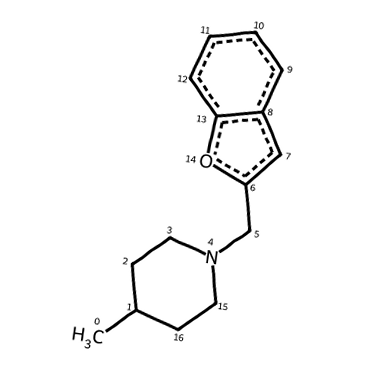 CC1CCN(Cc2cc3ccccc3o2)CC1